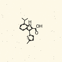 Cc1ccc(-c2c(C(=O)O)[nH]c3c(C(C)C)cccc23)s1